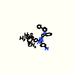 CCC1(c2ccc(-c3nc(-c4ccc(C#N)cc4)nc(-c4ccc5c(c4)c4ccccc4n5-c4cccc(-c5ccccc5)c4)n3)cc2)C[C@H](C)CC[C@H](C)C1